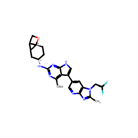 COc1nc(N[C@H]2CC[C@]34OCC3C4C2)nc2[nH]cc(-c3cnc4nc(C)n(CC(F)F)c4c3)c12